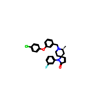 C[C@@H]1C[C@]2(C=CC(=O)N2c2cccc(F)c2)CCN1Cc1cccc(Oc2ccc(Cl)cc2)c1